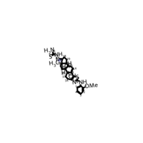 COc1ccccc1Nc1nc2c(s1)C1=CC[C@@H]3[C@H](CC[C@]4(C)/C(=N/NC(N)=S)CC[C@@H]34)[C@@]1(C)CC2